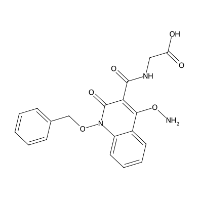 NOc1c(C(=O)NCC(=O)O)c(=O)n(OCc2ccccc2)c2ccccc12